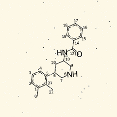 Cc1cccc(C2CNCC(NC(=O)c3ccccc3)C2)c1C